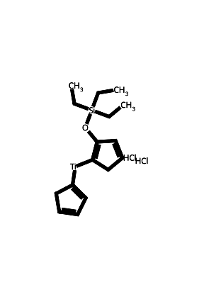 CC[Si](CC)(CC)OC1=[C]([Ti][C]2=CC=CC2)CC=C1.Cl.Cl